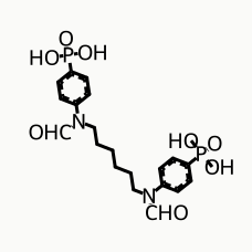 O=CN(CCCCCCN(C=O)c1ccc(P(=O)(O)O)cc1)c1ccc(P(=O)(O)O)cc1